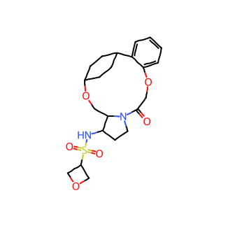 O=C1COc2ccccc2C2CCC(CC2)OCC2C(NS(=O)(=O)C3COC3)CCN12